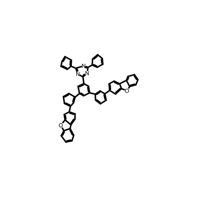 c1ccc(-c2nc(-c3ccccc3)nc(-c3cc(-c4cccc(-c5ccc6c(c5)oc5ccccc56)c4)cc(-c4cccc(-c5ccc6c(c5)oc5ccccc56)c4)c3)n2)cc1